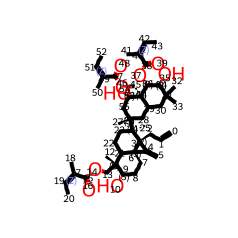 C=CC[C@@]12C(=C)[C@@]13CC[C@H](O)[C@](C)(COC(=O)/C(C)=C\C)C3CC[C@@]2(C)[C@@]1(C)CC2CC(C)(C)[C@@H](O)[C@H](OC(=O)/C(C)=C\C)[C@]2(COC(=O)/C(C)=C\C)[C@H](O)C1